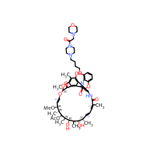 CO[C@H]1/C=C/O[C@@]2(C)Oc3c(C)c(O)c4c(=O)c(c5oc6cccc(OCCCCN7CCN(C(=O)CN8CCOCC8)CC7)c6nc-5c4c3C2=O)NC(=O)/C(C)=C\C=C\[C@H](C)[C@H](O)[C@@H](C)[C@@H](O)[C@@H](C)[C@H](OC(C)=O)[C@@H]1C